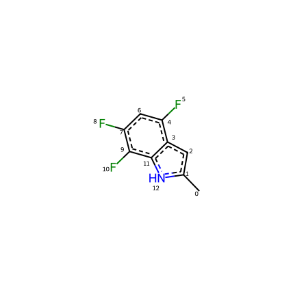 Cc1cc2c(F)cc(F)c(F)c2[nH]1